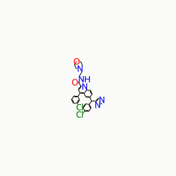 Cn1cncc1C(c1ccc(Cl)cc1)c1ccc2nc(C(=O)NCCN3CCOCC3)cc(-c3cccc(Cl)c3)c2c1